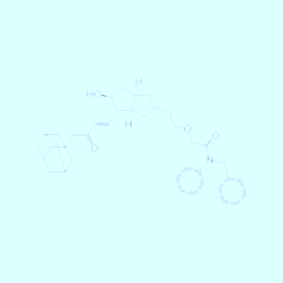 O=C(C=C[C@H]1[C@@H]2CC(CCOCC(=O)N(Cc3ccccc3)c3ccccc3)C[C@@H]2C[C@@H]1O)CC12CC3CC(CC(C3)C1)C2